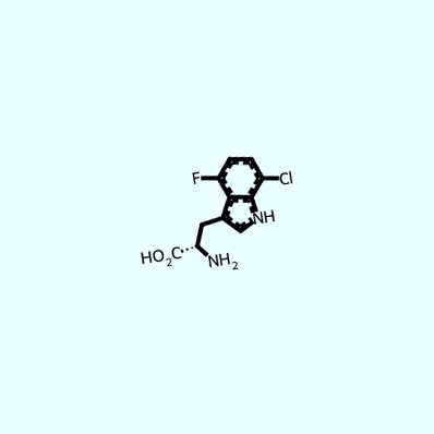 N[C@@H](Cc1c[nH]c2c(Cl)ccc(F)c12)C(=O)O